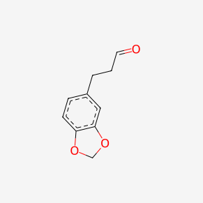 O=CCCc1ccc2c(c1)OCO2